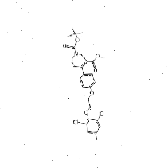 COC(=O)C1=C(c2ccc(OCCOc3c(Cl)cc(C)cc3Cl)cc2)CCN(C(=O)OC(C)(C)C)C1